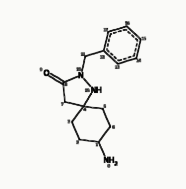 NC1CCC2(CC1)CC(=O)N(Cc1ccccc1)N2